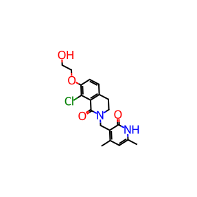 Cc1cc(C)c(CN2CCc3ccc(OCCO)c(Cl)c3C2=O)c(=O)[nH]1